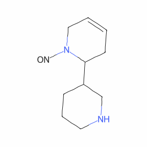 O=NN1CC=CCC1C1CCCNC1